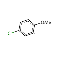 COc1[c][c]c(Cl)cc1